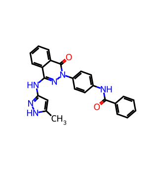 Cc1cc(Nc2nn(-c3ccc(NC(=O)c4ccccc4)cc3)c(=O)c3ccccc23)n[nH]1